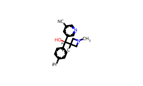 CC(C)c1ccc([C@](O)(c2cncc(C#N)c2)C2(C)CN(C)C2)cc1